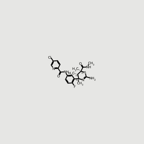 CNC(=O)[C@@]1(C)SC(N)=N[C@](C)(c2cc(NC(=O)c3ccc(Cl)cn3)ccc2F)[C@@H]1C